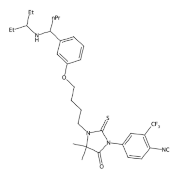 [C-]#[N+]c1ccc(N2C(=O)C(C)(C)N(CCCCOc3cccc(C(CCC)NC(CC)CC)c3)C2=S)cc1C(F)(F)F